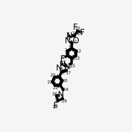 Fc1cc(-c2nnc(C(F)F)o2)ccc1Cn1cc(-c2cccc(CN3CC(F)C3)c2)nn1